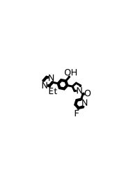 CCc1nccnc1-c1ccc(C2CCN(C(=O)c3ccc(F)cn3)C2)c(CO)c1